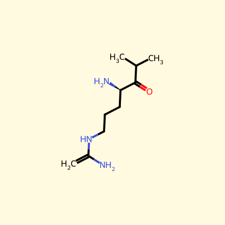 C=C(N)NCCC[C@@H](N)C(=O)C(C)C